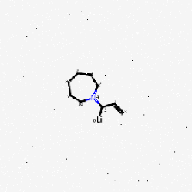 [Li][CH](C=C)N1CCCCCC1